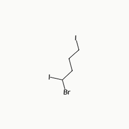 BrC(I)CCCI